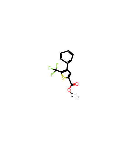 COC(=O)c1cc(-c2ccccc2)c(C(F)(F)F)s1